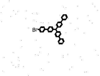 Brc1ccc(-c2ccc(C(c3ccc(-c4ccccc4)cc3)c3ccc(-c4ccccc4)cc3)cc2)cc1